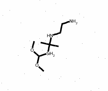 COC(OC)[SiH2]C(C)(C)NCCN